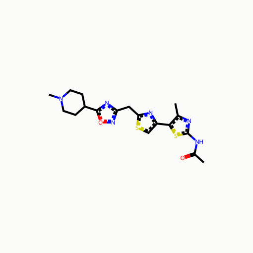 CC(=O)Nc1nc(C)c(-c2csc(Cc3noc(C4CCN(C)CC4)n3)n2)s1